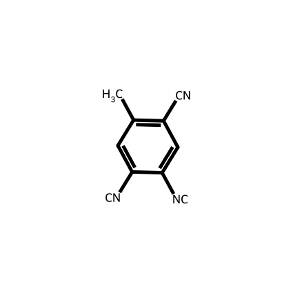 [C-]#[N+]c1cc(C)c(C#N)cc1[N+]#[C-]